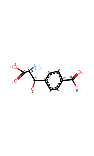 N[C@H](C(=O)O)[C@H](O)c1ccc(C(=O)O)cc1